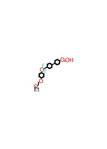 CCOCCOc1ccc(OC(F)(F)c2ccc(-c3ccc(OCO)cc3)cc2)cc1